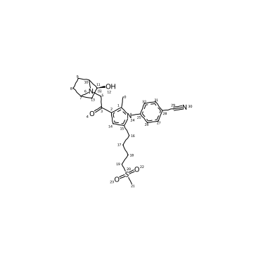 Cc1c(C(=O)CN2C3CCC2[C@@H](O)C3)cc(CCCCS(C)(=O)=O)n1-c1ccc(C#N)cc1